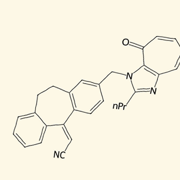 CCCc1nc2ccccc(=O)c2n1Cc1ccc2c(c1)CCc1ccccc1/C2=C\C#N